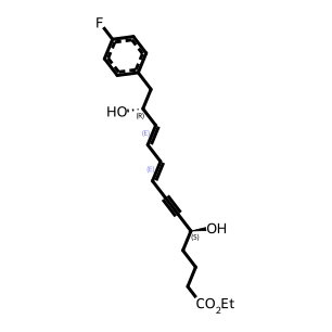 CCOC(=O)CCC[C@H](O)C#C/C=C/C=C/[C@H](O)Cc1ccc(F)cc1